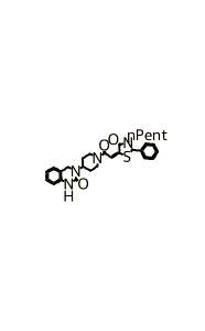 CCCCCN1C(=O)C(=CC(=O)N2CCC(N3Cc4ccccc4NC3=O)CC2)SC1c1ccccc1